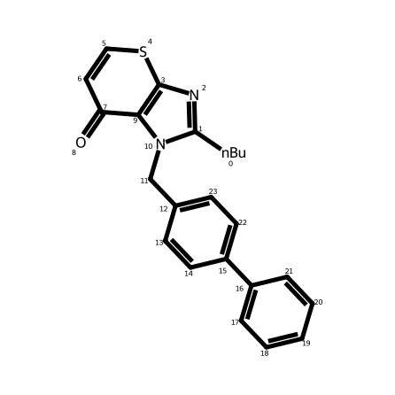 CCCCc1nc2sccc(=O)c2n1Cc1ccc(-c2ccccc2)cc1